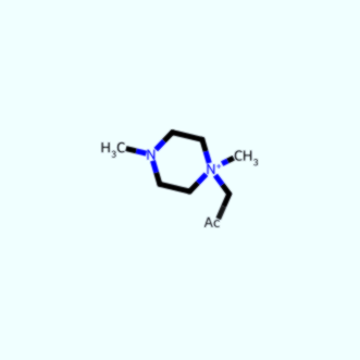 CC(=O)C[N+]1(C)CCN(C)CC1